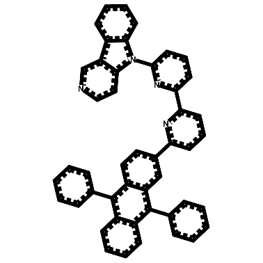 c1ccc(-c2c3ccccc3c(-c3ccccc3)c3cc(-c4cccc(-c5cccc(-n6c7ccccc7c7cnccc76)n5)n4)ccc23)cc1